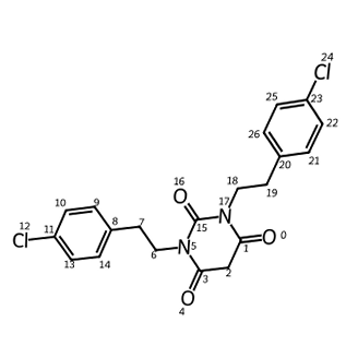 O=C1CC(=O)N(CCc2ccc(Cl)cc2)C(=O)N1CCc1ccc(Cl)cc1